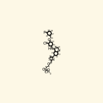 CS(=O)(=O)CCOCc1nc(-c2ccc3ncnc(Nc4ccc(OCc5cccc(F)c5)c(Cl)c4)c3c2)cs1